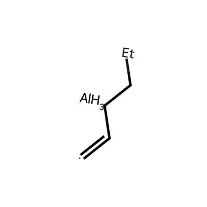 [AlH3].[CH]=CCCCC